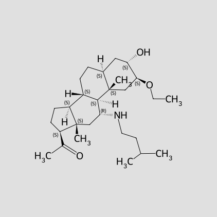 CCO[C@H]1C[C@@]2(C)[C@@H](CC[C@@H]3[C@@H]2[C@H](NCCC(C)C)C[C@]2(C)[C@@H](C(C)=O)CC[C@@H]32)C[C@@H]1O